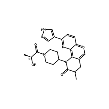 C[C@H](O)C(=O)N1CCC(N2C(=O)N(C)Cc3cnc4ccc(-c5cn[nH]c5)nc4c32)CC1